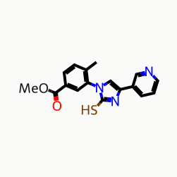 COC(=O)c1ccc(C)c(-n2cc(-c3cccnc3)nc2S)c1